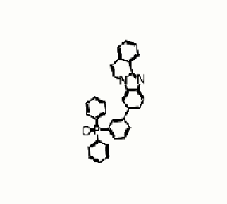 O=P(c1ccccc1)(c1ccccc1)c1cccc(-c2ccc3nc4c5ccccc5ccn4c3c2)c1